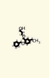 CCc1ccc(OCc2ccccc2)c(COCCCO)c1